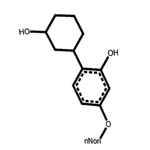 CCCCCCCCCOc1ccc(C2CCCC(O)C2)c(O)c1